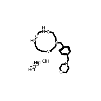 Cl.Cl.Cl.Cl.Cl.c1cc(CN2CCOCC2)ccc1CN1CCCNCCNCCCNCC1